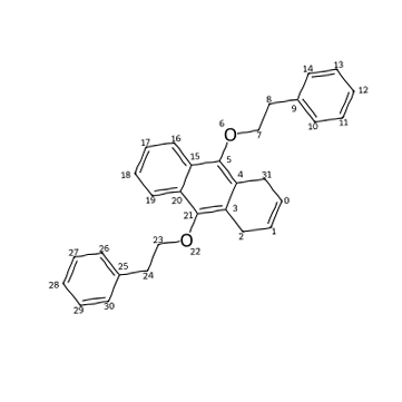 C1=CCc2c(c(OCCc3ccccc3)c3ccccc3c2OCCc2ccccc2)C1